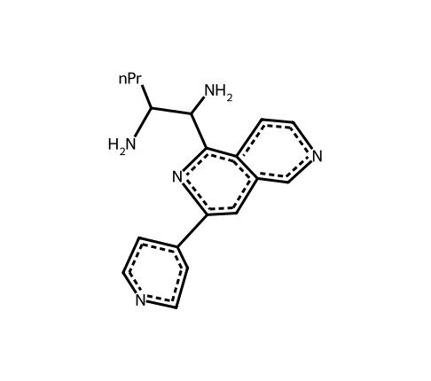 CCCC(N)C(N)c1nc(-c2ccncc2)cc2cnccc12